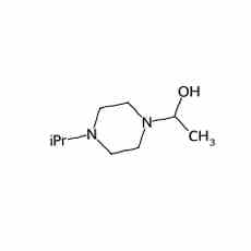 CC(C)N1CCN(C(C)O)CC1